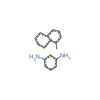 Cc1cccc2ccccc12.Nc1cccc(N)c1